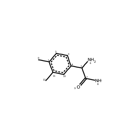 Cc1ccc(C(N)C([NH])=O)cc1C